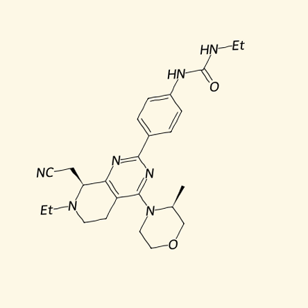 CCNC(=O)Nc1ccc(-c2nc3c(c(N4CCOC[C@@H]4C)n2)CCN(CC)[C@H]3CC#N)cc1